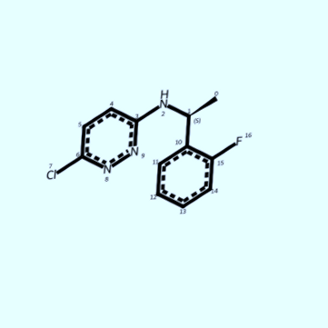 C[C@H](Nc1ccc(Cl)nn1)c1ccccc1F